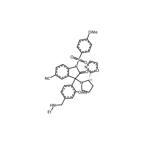 CCNCc1ccc(C2(N3CCC[C@H]3c3ncco3)C(=O)N(S(=O)(=O)c3ccc(OC)cc3)c3ccc(C#N)cc32)c(OC)c1